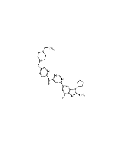 CCN1CCN(Cc2ccc(Nc3cc(-c4cc(F)c5nc(C)n(C6CCCC6)c5c4)ncn3)nc2)CC1